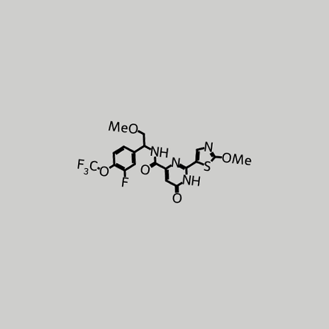 COCC(NC(=O)c1cc(=O)[nH]c(-c2cnc(OC)s2)n1)c1ccc(OC(F)(F)F)c(F)c1